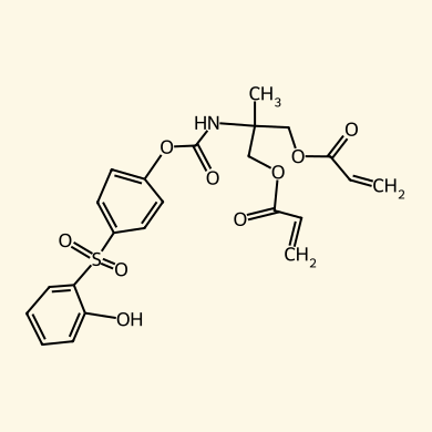 C=CC(=O)OCC(C)(COC(=O)C=C)NC(=O)Oc1ccc(S(=O)(=O)c2ccccc2O)cc1